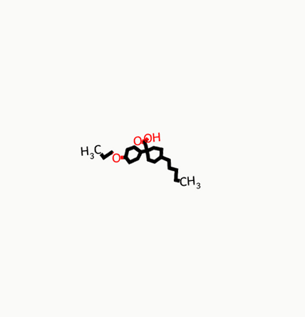 CCCCCC1CCC(C(=O)O)(C2CCC(OCCC)CC2)CC1